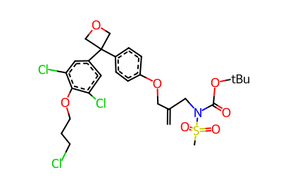 C=C(COc1ccc(C2(c3cc(Cl)c(OCCCCl)c(Cl)c3)COC2)cc1)CN(C(=O)OC(C)(C)C)S(C)(=O)=O